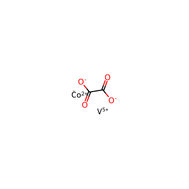 O=C([O-])C(=O)[O-].[Co+2].[V+5]